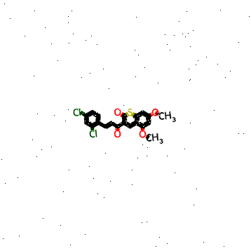 COc1cc(OC)c2cc(C(=O)C=Cc3ccc(Cl)cc3Cl)c(=O)sc2c1